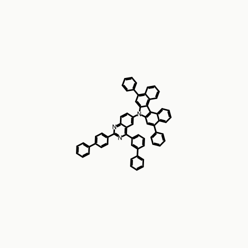 c1ccc(-c2ccc(-c3nc(-c4cccc(-c5ccccc5)c4)c4cc(-n5c6cc(-c7ccccc7)c7ccccc7c6c6c7ccccc7c(-c7ccccc7)cc65)ccc4n3)cc2)cc1